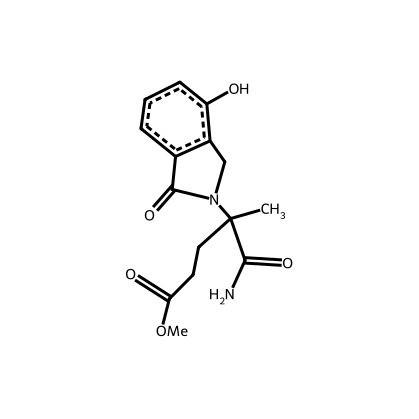 COC(=O)CCC(C)(C(N)=O)N1Cc2c(O)cccc2C1=O